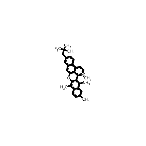 Cc1ccc2c(C)c3c(c(C)c2c1)-c1c2c(cc4cc(CC(C)(C)C(F)(F)F)ccc4c2cc[n+]1C)O3